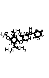 COc1cc(Oc2cnc(Nc3ccccc3)nc2N)c(C(C)C)cc1OC